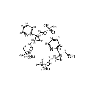 CC(C)(C)[Si](C)(C)OC[C@H]1C[C@]1(CO)c1ccccn1.CC(C)(C)[Si](C)(C)OC[C@H]1C[C@]1(COS(C)(=O)=O)c1ccccn1